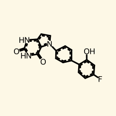 O=c1[nH]c(=O)c2c(ccn2-c2ccc(-c3ccc(F)cc3O)cc2)[nH]1